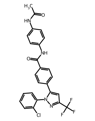 CC(=O)Nc1ccc(NC(=O)c2ccc(-c3cc(C(F)(F)F)nn3-c3ccccc3Cl)cc2)cc1